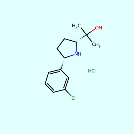 CC(C)(O)[C@H]1CC[C@@H](c2cccc(Cl)c2)N1.Cl